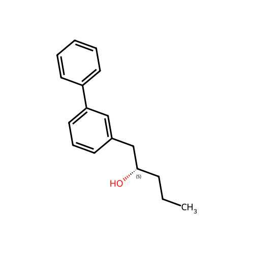 CCC[C@H](O)Cc1cccc(-c2ccccc2)c1